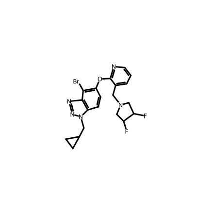 FC1CN(Cc2cccnc2Oc2ccc3c(nnn3CC3CC3)c2Br)CC1F